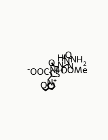 CO/N=C(\C(=O)NC1C(=O)N2C(C(=O)[O-])=C(C[n+]3cccc4ccoc43)CS[C@H]12)N1C=COC1N